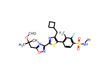 CC(C)NS(=O)(=O)c1ccc(-c2sc(-c3noc(CC(C)(C)OC=O)n3)nc2CC2CCC2)c(C(F)(F)F)c1F